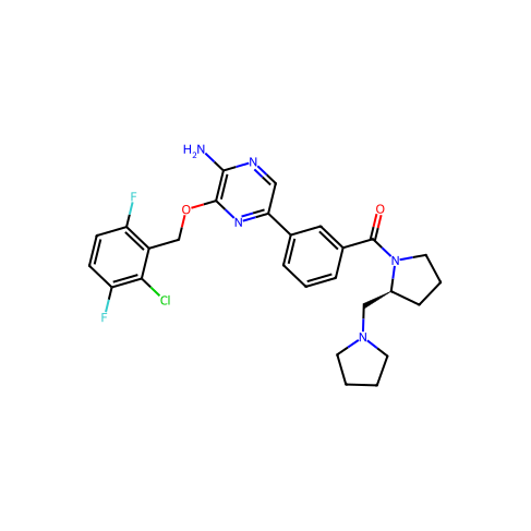 Nc1ncc(-c2cccc(C(=O)N3CCC[C@H]3CN3CCCC3)c2)nc1OCc1c(F)ccc(F)c1Cl